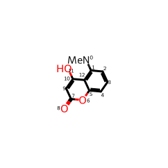 CNc1cccc2oc(=O)cc(O)c12